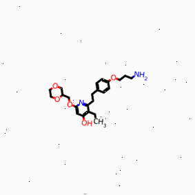 CCc1c(O)cc(OCC2COCCO2)nc1CCc1ccc(OCCCN)cc1